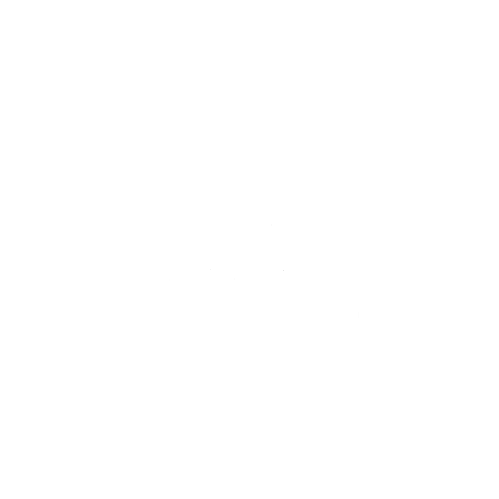 CC(COCC(F)(F)F)(COSOOO)COS(=O)(=O)O